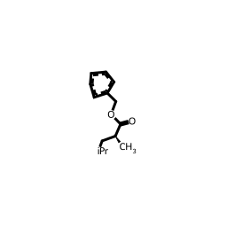 CC(C)C[C@H](C)C(=O)OCc1ccccc1